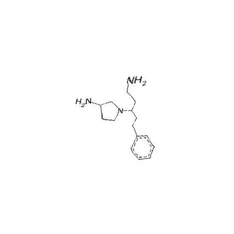 NCCC(CCc1ccccc1)N1CCC(N)C1